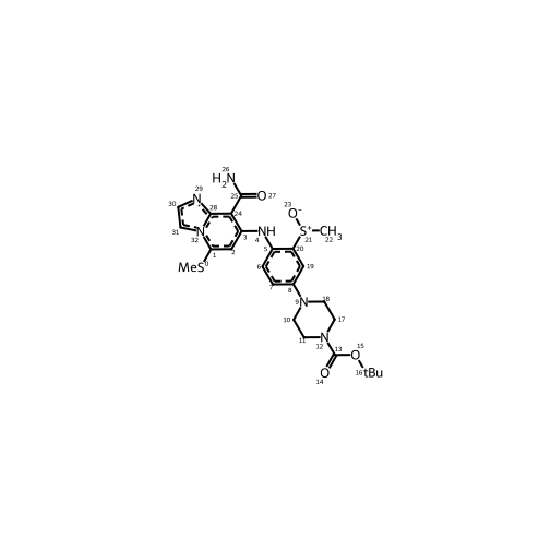 CSc1cc(Nc2ccc(N3CCN(C(=O)OC(C)(C)C)CC3)cc2[S+](C)[O-])c(C(N)=O)c2nccn12